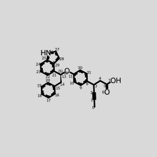 CC#CC(CC(=O)O)c1ccc(O[C@@H](Cc2ccccc2)c2cccc3[nH]ccc23)cc1